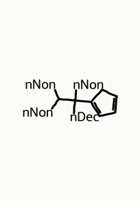 CCCCCCCCCCC(CCCCCCCCC)(C1=CC=CC1)C(CCCCCCCCC)CCCCCCCCC